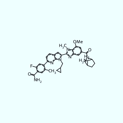 COc1cc(C(=O)N2CC3CCC2[C@@H]3N)cc2nc(-c3cc4ccc(-c5cc(F)c(C(N)=O)cc5C)nc4n3CC3CC3)n(C)c12